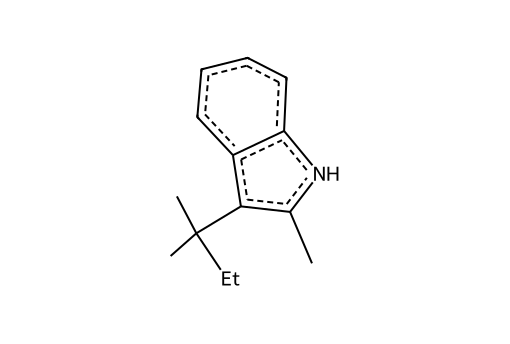 CCC(C)(C)c1c(C)[nH]c2ccccc12